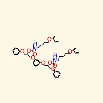 C=CC(=C)OCCCCCNC(=O)OC(COc1ccccc1)COc1cccc(OCC(COc2ccccc2)OC(=O)NCCCCCOC(=C)C=C)c1